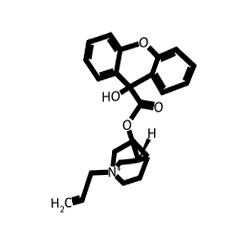 C=CC[N+]12CCC(CC1)[C@@H](OC(=O)C1(O)c3ccccc3Oc3ccccc31)C2